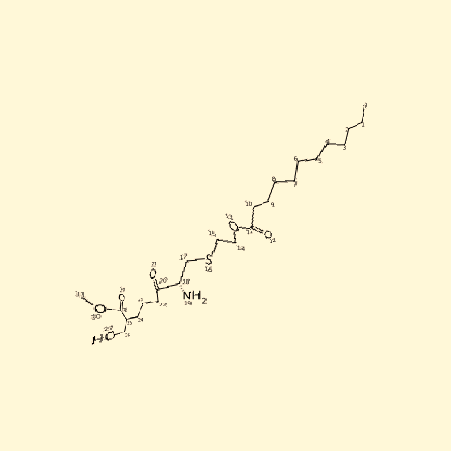 CCCCCCCCCCCC(=O)OCCSC[C@H](N)C(=O)CCC[C@@H](CO)C(=O)OC